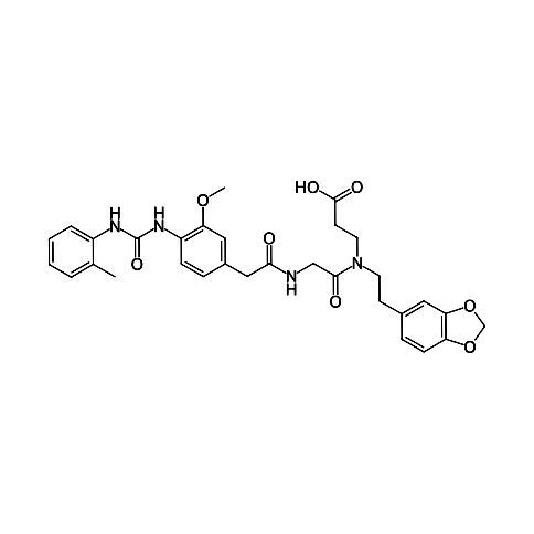 COc1cc(CC(=O)NCC(=O)N(CCC(=O)O)CCc2ccc3c(c2)OCO3)ccc1NC(=O)Nc1ccccc1C